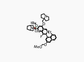 CCc1cccc2cc(OCOC)cc(-c3ncc4c(OCC56CCCN5CCC6)cc(N5CC6CCC(C5)N6C(=O)OC(C)(C)C)nc4c3F)c12